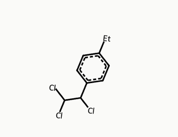 CCc1ccc(C(Cl)C(Cl)Cl)cc1